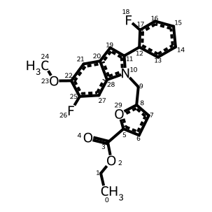 CCOC(=O)c1ccc(Cn2c(-c3ccccc3F)cc3cc(OC)c(F)cc32)o1